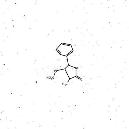 CC1C(=O)NC(c2ccccc2)C1NC(=O)O